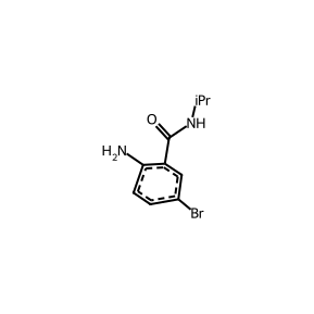 CC(C)NC(=O)c1cc(Br)ccc1N